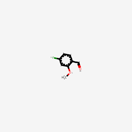 COc1cc(F)ccc1C=O